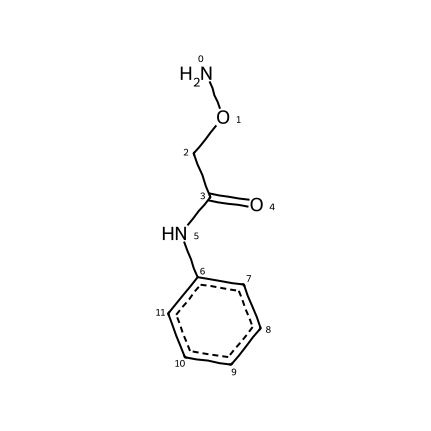 NOCC(=O)Nc1ccccc1